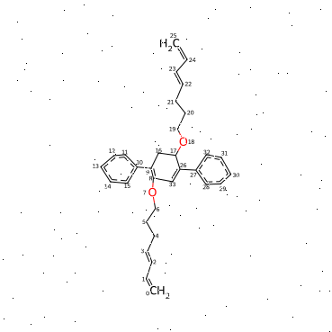 C=C/C=C/CCCOC1=C(c2ccccc2)CC(OCCC/C=C/C=C)C(c2ccccc2)=C1